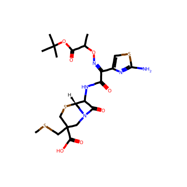 CSCC1(C(=O)O)CS[C@@H]2C(NC(=O)C(=NOC(C)C(=O)OC(C)(C)C)c3csc(N)n3)C(=O)N2C1